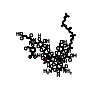 C=C(C/C=C(\C)CCC=C(C)C)CCC(C)(C)/C=C/CC/C(C)=C/COC(COP(=O)(O)OC1OC(C(N)=O)C(C)(O)C(OC(N)=O)C1OC1OC(COC2OC(CO)C(O)C(O)C2O)C(OC2OC(C)C(OC3OC(c4nc(C(=O)CCC(=O)O)nn4-c4ccc([N+](=O)[O-])cc4C=O)C(O)C(O)C3O)C(O)C2NC(C)=O)C(O)C1NC(C)=O)C(=O)O